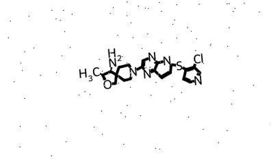 C[C@@H]1OCC2(CCN(c3cnc4nc(Sc5ccncc5Cl)ccc4n3)CC2)[C@@H]1N